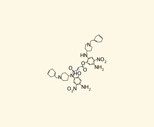 Nc1cc(OC(=O)/C=C/C(=O)N(c2cc([N+](=O)[O-])c(N)cc2O)C2CCN(CC3=CCC=CC3)CC2)c(NC2CCN(CC3=CCC=CC3)CC2)cc1[N+](=O)[O-]